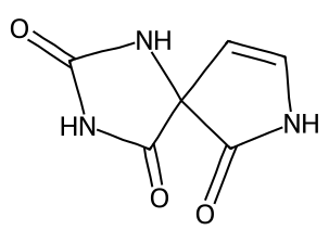 O=C1NC(=O)C2(C=CNC2=O)N1